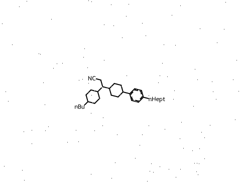 CCCCCCCc1ccc(C2CCC(C(CC#N)C3CCC(CCCC)CC3)CC2)cc1